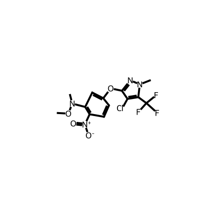 CON(C)c1cc(Oc2nn(C)c(C(F)(F)F)c2Cl)ccc1[N+](=O)[O-]